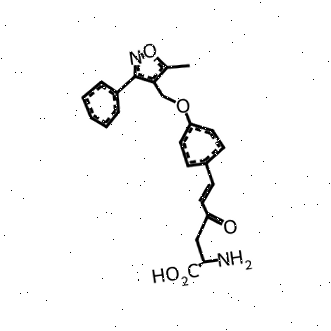 Cc1onc(-c2ccccc2)c1COc1ccc(C=CC(=O)C[C@@H](N)C(=O)O)cc1